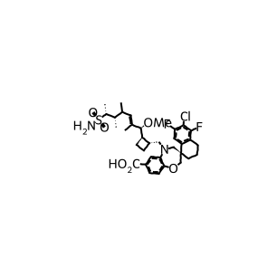 CO[C@@H](/C(C)=C/C(C)[C@H](C)[C@@H](C)S(N)(=O)=O)[C@@H]1CC[C@H]1CN1C[C@@]2(CCCc3c2cc(F)c(Cl)c3F)COc2ccc(C(=O)O)cc21